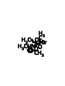 CCCc1oc(C)c(Br)c(=O)c1C(=O)Nc1c(CC)cccc1CC